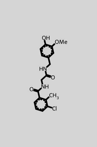 COc1cc(CNC(=O)CNC(=O)c2cccc(Cl)c2C)ccc1O